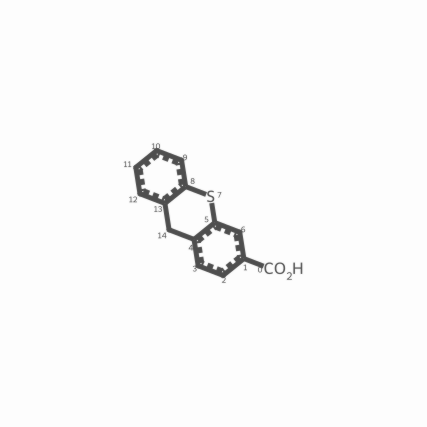 O=C(O)c1ccc2c(c1)Sc1ccccc1C2